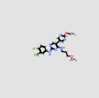 COCCCNc1nc(Nc2ccc(F)c(Cl)c2)ncc1-c1cnc(OC)nc1